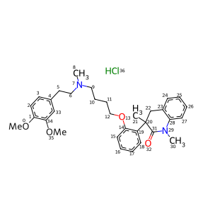 COc1ccc(CCN(C)CCCCOc2ccccc2C2(C)Cc3ccccc3N(C)C2=O)cc1OC.Cl